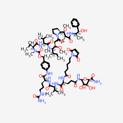 CC[C@H](C)[C@@H]([C@@H](CC(=O)N1CCC[C@H]1[C@H](OC)[C@@H](C)C(=O)N[C@H](C)[C@@H](O)c1ccccc1)OC)N(C)C(=O)[C@@H](NC(=O)[C@H](C(C)C)N(C)C(=O)OCc1ccc(NC(=O)[C@H](CCCNC(N)=O)NC(=O)[C@@H](NC(=O)[C@H](CCC(=O)NC2O[C@H](C(N)=O)[C@@H](O)[C@H]2O)NC(=O)CCCCCN2C(=O)C=CC2=O)C(C)C)cc1)C(C)C